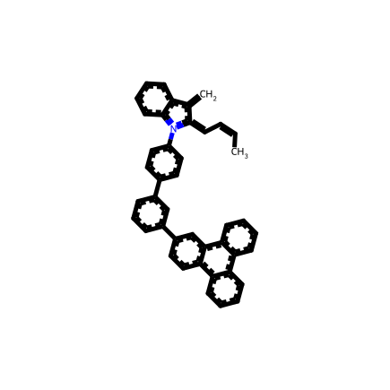 C=c1/c(=C\C=C/C)n(-c2ccc(-c3cccc(-c4ccc5c6ccccc6c6ccccc6c5c4)c3)cc2)c2ccccc12